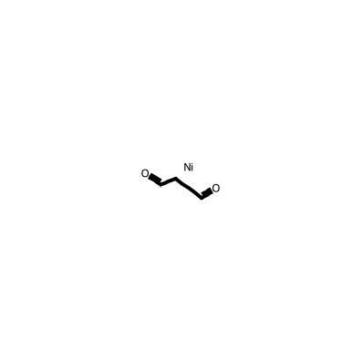 O=[C]CC=O.[Ni]